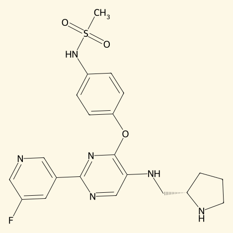 CS(=O)(=O)Nc1ccc(Oc2nc(-c3cncc(F)c3)ncc2NC[C@@H]2CCCN2)cc1